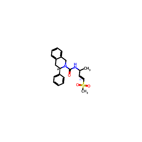 CC(/C=C/S(C)(=O)=O)NC(=O)N1Cc2ccccc2C[C@@H]1c1ccccc1